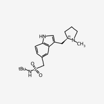 CN1CCC[C@@H]1Cc1c[nH]c2ccc(CS(=O)(=O)NC(C)(C)C)cc12